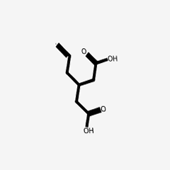 [CH]=CCC(CC(=O)O)CC(=O)O